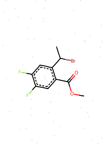 COC(=O)c1cc(F)c(F)cc1C(C)Br